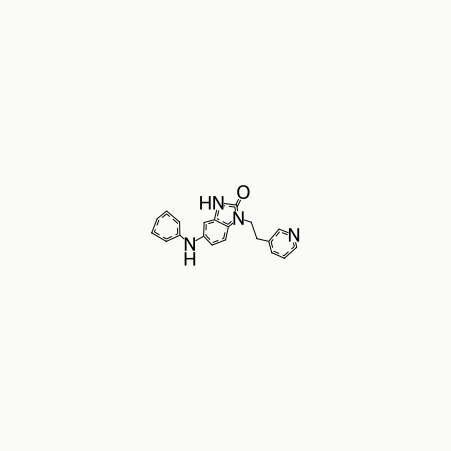 O=c1[nH]c2cc(Nc3ccccc3)ccc2n1CCc1cccnc1